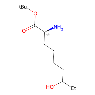 CCC(O)CCCC[C@H](N)C(=O)OC(C)(C)C